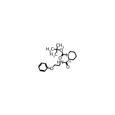 CC(C)(C)OC(=O)N1CCCC[C@H]1C(=O)NCCOc1ccccc1